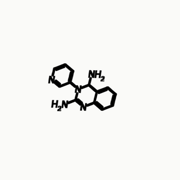 NC1=Nc2ccccc2C(N)N1c1cccnc1